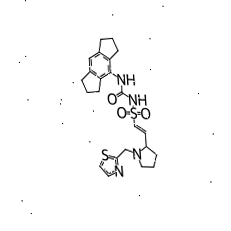 O=C(Nc1c2c(cc3c1CCC3)CCC2)NS(=O)(=O)/C=C/C1CCCN1Cc1nccs1